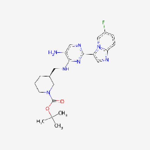 CC(C)(C)OC(=O)N1CCC[C@@H](CNc2nc(-c3cnc4ccc(F)cn34)ncc2N)C1